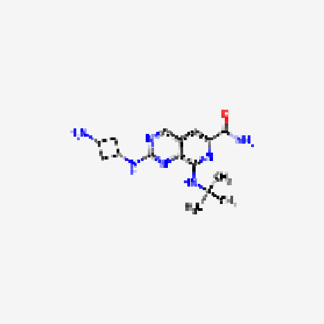 CC(C)(C)Nc1nc(C(N)=O)cc2cnc(NC3CC(N)C3)nc12